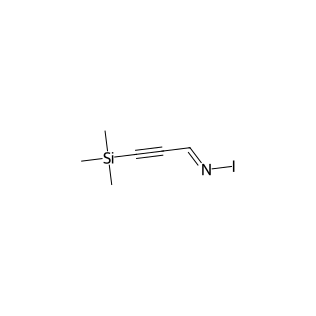 C[Si](C)(C)C#C/C=N/I